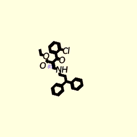 CCOC(=O)/C(=C/NCCC(c1ccccc1)c1ccccc1)C(=O)c1ccccc1Cl